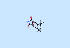 CC(C)(C)C1C2OC(C3C(=O)NC(=O)C23)C1C(C)(C)C